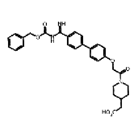 N=C(NC(=O)OCc1ccccc1)c1ccc(-c2ccc(OCC(=O)N3CCC(CC(=O)O)CC3)cc2)cc1